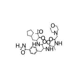 CC(NC(=O)CN1CCOCC1)C(=O)NC(Cc1ccc(C(N)=O)cc1)C(=O)NC(CC1CCCC1)C(=O)C1(C)CO1